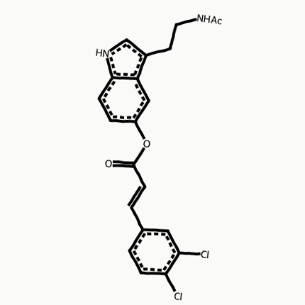 CC(=O)NCCc1c[nH]c2ccc(OC(=O)/C=C/c3ccc(Cl)c(Cl)c3)cc12